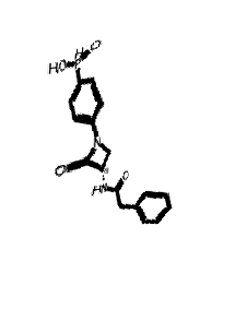 O=C(Cc1ccccc1)N[C@H]1CN(c2ccc([PH](=O)O)cc2)C1=O